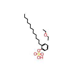 CCCCCCCCCCCCc1ccccc1OS(=O)(=O)O.CCOCC